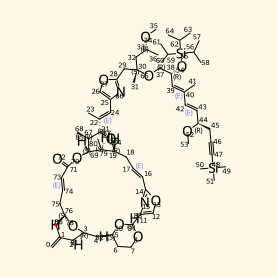 C=C1C[C@@H]2C[C@@H]3CCO[C@@H](O3)c3coc(n3)/C=C/C[C@H]3O[C@@H](/C(C)=C/c4coc(C[C@]5(C)C[C@H](OC)C[C@H]([C@@H](/C=C(C)/C=C/[C@@H](CC#C[Si](C)(C)C)OC)O[Si](C(C)C)(C(C)C)C(C)C)O5)n4)[C@H](C)[C@@H](OC(=O)/C=C/C[C@@H](C1)O2)[C@H]3C